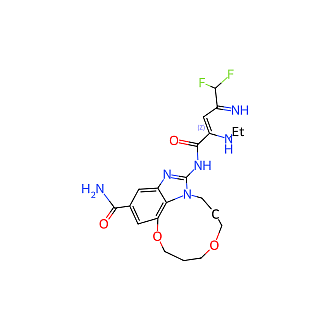 CCN/C(=C\C(=N)C(F)F)C(=O)Nc1nc2cc(C(N)=O)cc3c2n1CCCOCCCO3